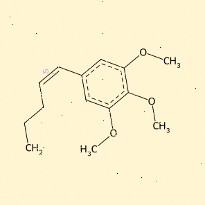 [CH2]CC/C=C\c1cc(OC)c(OC)c(OC)c1